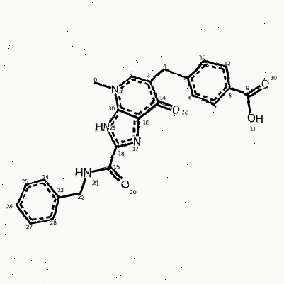 Cn1cc(Cc2ccc(C(=O)O)cc2)c(=O)c2nc(C(=O)NCc3ccccc3)[nH]c21